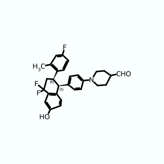 Cc1cc(F)ccc1[C@@H]1CC(F)(F)c2cc(O)ccc2[C@@H]1c1ccc(N2CCC(C=O)CC2)cc1